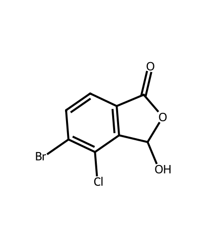 O=C1OC(O)c2c1ccc(Br)c2Cl